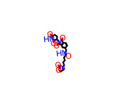 O=C(CCCCN1CCOC1=O)NCc1ccc2c(c1)C(=O)N(C1CCC(=O)NC1=O)C2=O